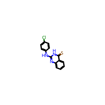 S=c1[nH]c(Nc2ccc(Cl)cc2)nc2ccccc12